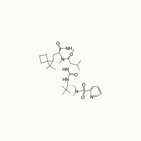 CC(C)[C@H](NC(=O)N[C@H](CN(C)S(=O)(=O)c1ccccn1)C(C)(C)C)C(=O)N1C[C@]2(C[C@H]1C(N)=O)C(C)(C)C21CCC1